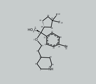 O=C(O)[C@](OCCC1CCNCC1)(c1ccc(Br)cc1)[C@@H]1CCC(F)(F)C1